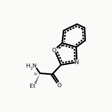 CC[C@H](N)C(=O)c1nc2ccccc2o1